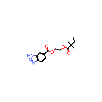 CCC(C)(C)C(=O)OCCOC(=O)c1ccc2nn[nH]c2c1